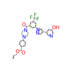 C=CCOC(=O)c1ccc(N2CCN(C(=O)c3cc(-n4cc(-c5cncc(O)c5)cn4)cc(C(F)(F)F)c3)CC2)cc1